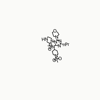 CCCC1=NC(N(C2CCN(S(C)(=O)=O)CC2)S(C)(=O)=O)N(N2CCNCC2)C(N2CCOCC2)=N1